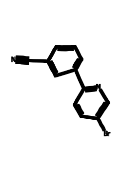 N#Cc1cccc(-c2ccc(Br)cn2)c1